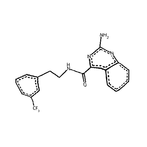 Nc1nc(C(=O)NCCc2cccc(C(F)(F)F)c2)c2ccccc2n1